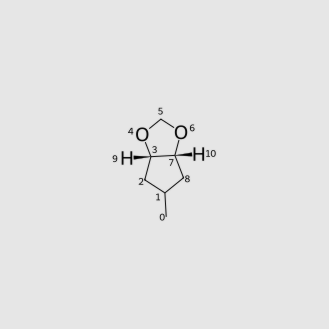 CC1C[C@@H]2OCO[C@@H]2C1